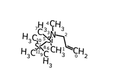 C=CCN(C)[Si](C)(C)[Si](C)(C)C